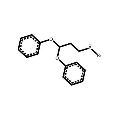 BrPCCC(Oc1ccccc1)Oc1ccccc1